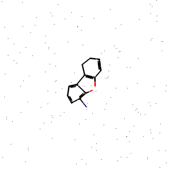 Ic1cccc2c3c(oc12)C=CCC3